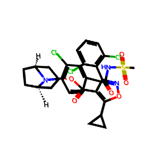 CS(=O)(=O)NC(=O)c1ccc(N2[C@@H]3CC[C@H]2C[C@H](OC(=O)c2c(-c4c(Cl)cccc4Cl)noc2C2CC2)C3)c(Cl)c1